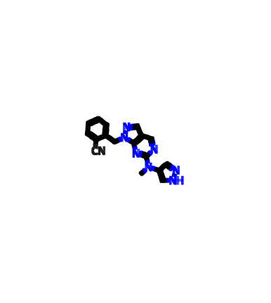 CN(c1cn[nH]c1)c1ncc2cnn(Cc3ccccc3C#N)c2n1